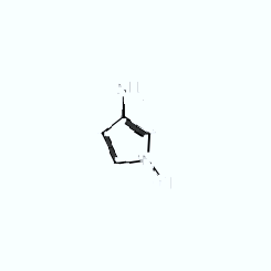 Nc1ccn(Cl)c1